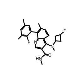 CNC(=O)c1cnc2c(-c3cc(C)cc(C)c3F)c(C)ccc2c1N(C)C1CC(F)C1